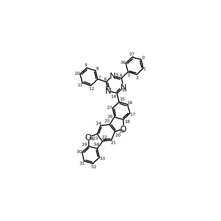 c1ccc(-c2nc(-c3ccccc3)nc(-c3ccc4oc5cc6c(cc5c4c3)oc3ccccc36)n2)cc1